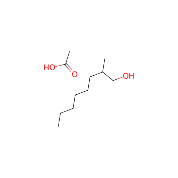 CC(=O)O.CCCCCCC(C)CO